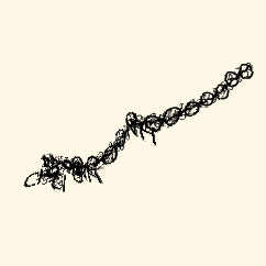 COCCOCCOCCOCCOCCOCCOCCC(=O)NCCOCCOCCOCCNS(=O)(=O)c1ccc(C2CN(C)Cc3c(Cl)cc(Cl)cc32)cc1